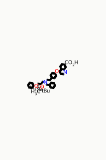 CC(C)(C)[Si](C)(C)OC(COc1ccccc1)CN(CCc1ccc(Oc2ccnc3cc(C(=O)O)ccc23)cc1)Cc1ccccc1